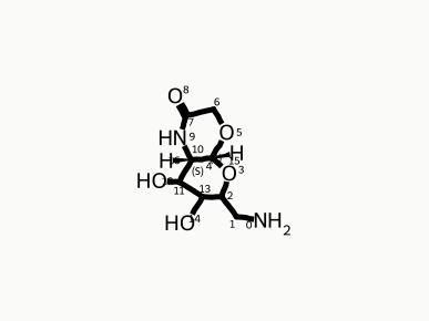 NCC1O[C@H]2OCC(=O)N[C@H]2C(O)C1O